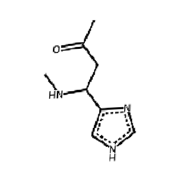 CNC(CC(C)=O)c1c[nH]cn1